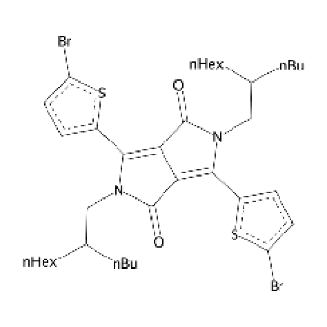 CCCCCCC(CCCC)CN1C(=O)C2=C(c3ccc(Br)s3)N(CC(CCCC)CCCCCC)C(=O)C2=C1c1ccc(Br)s1